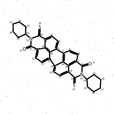 O=C1c2ccc3c4ccc5c6c(ccc(c7ccc(c2c37)C(=S)N1C1CCCCC1)c64)C(=O)N(C1CCCCC1)C5=S